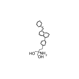 NC(CO)(CO)CCc1ccc(-c2cccc3c(Sc4ccccc4)cccc23)cc1